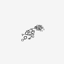 CC(C)(C)[Si](C)(C)OCCN(Cc1cn2cc(C3CC3)ccc2n1)c1cc(NC(=O)[C@H]2C[C@@H]2c2cccc(Cl)c2)ncn1